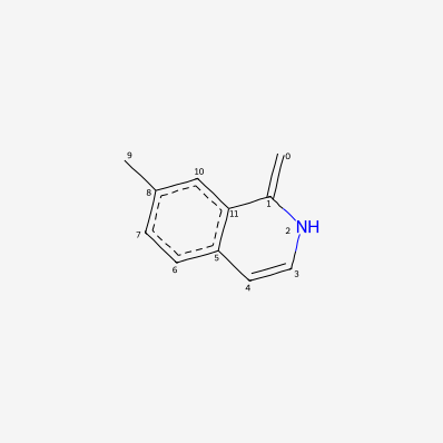 C=C1NC=Cc2ccc(C)cc21